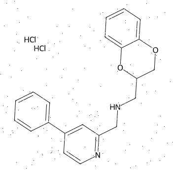 Cl.Cl.c1ccc(-c2ccnc(CNCC3COc4ccccc4O3)c2)cc1